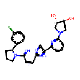 N=C(/C=C\c1ncc(-c2cccc(N3C[C@H](O)[C@@H](O)C3)n2)[nH]1)N1CCCC1c1cccc(F)c1